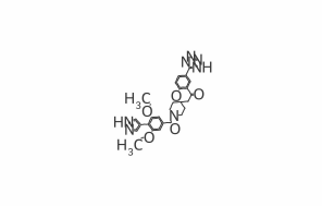 CCOc1cc(C(=O)N2CCC3(CC2)CC(=O)c2cc(-c4nnn[nH]4)ccc2O3)cc(OCC)c1-c1cn[nH]c1